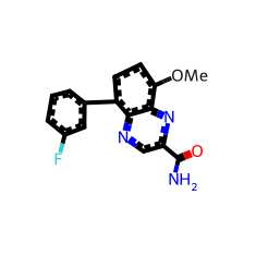 COc1ccc(-c2cccc(F)c2)c2ncc(C(N)=O)nc12